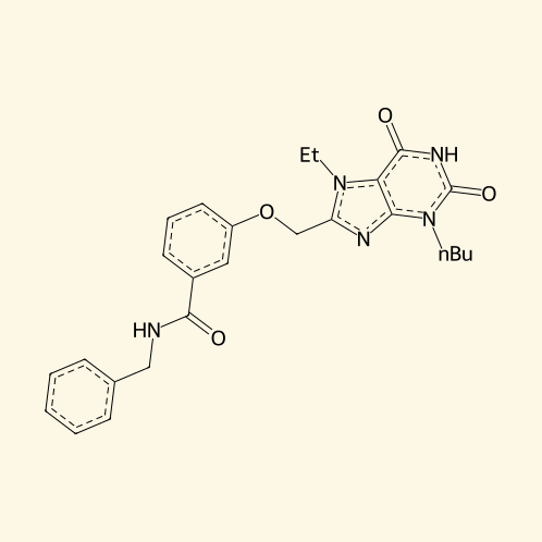 CCCCn1c(=O)[nH]c(=O)c2c1nc(COc1cccc(C(=O)NCc3ccccc3)c1)n2CC